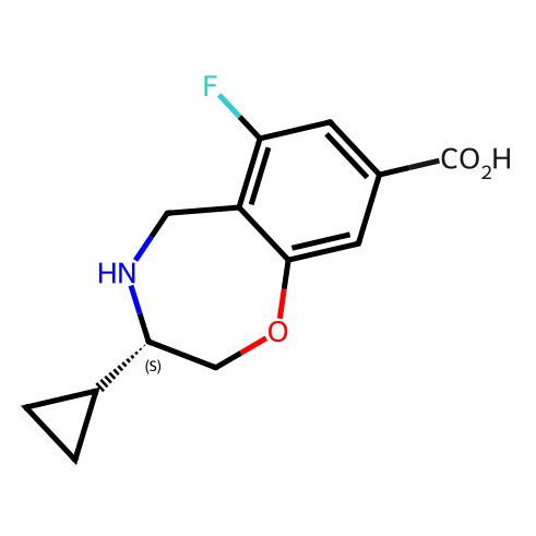 O=C(O)c1cc(F)c2c(c1)OC[C@H](C1CC1)NC2